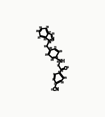 N#Cc1ccc(C(=O)CNc2ccc(Cn3ncc4ccccc43)cc2)cc1